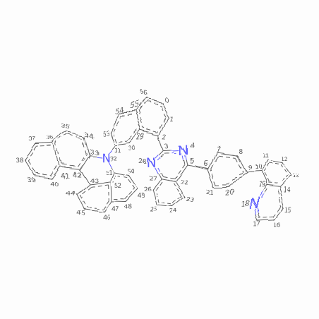 c1cc(-c2nc(-c3ccc(-c4cccc5cccnc45)cc3)c3ccccc3n2)c2cc(N3c4ccc5ccccc5c4-c4cccc5cccc3c45)ccc2c1